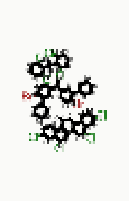 CC(Cc1ccc(Cl)c2cc(Cl)ccc12)c1ccc(Cl)c2cc(Cl)ccc12.CC(c1ccc(Br)c(-c2ccccc2)c1)c1ccc(Br)c(-c2ccccc2)c1.CCCC(C)(c1c(Cl)cccc1Cl)c1c(Cl)cccc1Cl